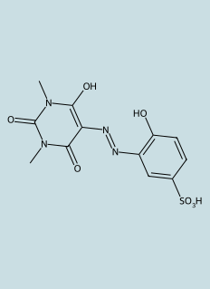 Cn1c(O)c(N=Nc2cc(S(=O)(=O)O)ccc2O)c(=O)n(C)c1=O